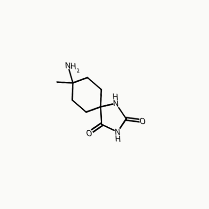 CC1(N)CCC2(CC1)NC(=O)NC2=O